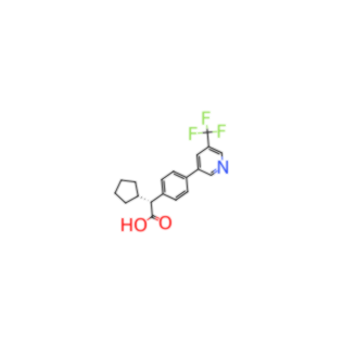 O=C(O)[C@@H](c1ccc(-c2cncc(C(F)(F)F)c2)cc1)C1CCCC1